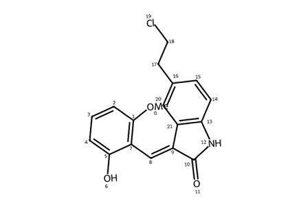 COc1cccc(O)c1C=C1C(=O)Nc2ccc(CCCl)cc21